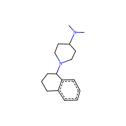 CN(C)C1CCN(C2CCCc3ccccc32)CC1